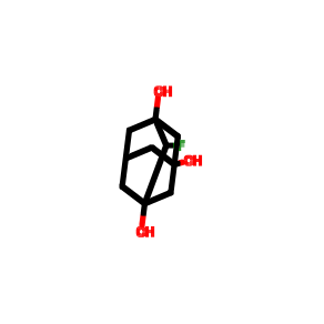 OC12CC3CC(O)(C1)C(F)C(O)(C3)C2